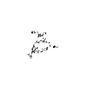 CCCCCCCCCCN(CC(O)C[PH](=O)CCN(C)C)C(=O)CCCCC(CCCC)CCCCCCCC